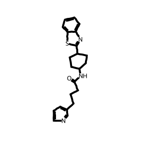 O=C(CCCc1cccnc1)NC1CCC(c2nc3ccccc3s2)CC1